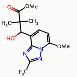 COC(=O)C(C)(C)C(O)c1ccc(OC)n2nc(C(F)(F)F)nc12